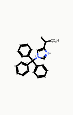 CC(C(=O)O)c1cn(C(c2ccccc2)(c2ccccc2)c2ccccc2)cn1